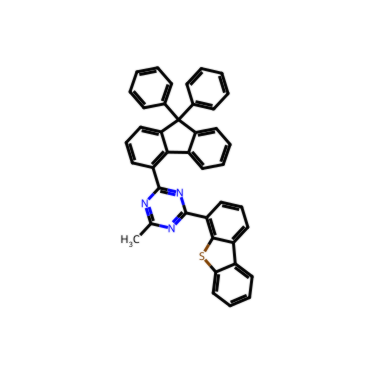 Cc1nc(-c2cccc3c2-c2ccccc2C3(c2ccccc2)c2ccccc2)nc(-c2cccc3c2sc2ccccc23)n1